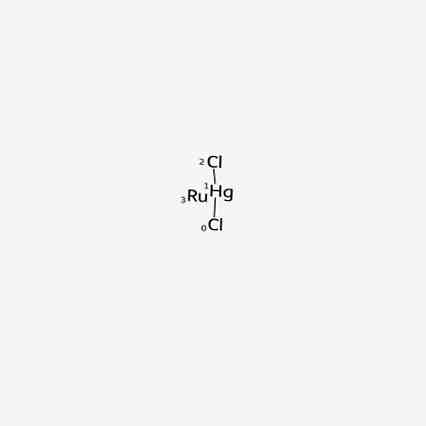 [Cl][Hg][Cl].[Ru]